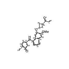 C=CC(=O)N1CC(Oc2cc3c(Nc4ccc(F)c(Cl)c4)ncnc3cc2OC)C1